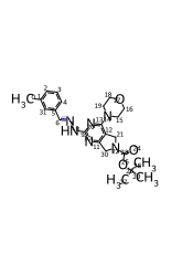 Cc1cccc(/C=N/Nc2nc3c(c(N4CCOCC4)n2)CN(C(=O)OC(C)(C)C)C3)c1